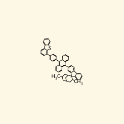 CC1CC2CC(C)C3(c4ccccc4-c4ccc(-c5c6ccccc6c(-c6ccc(-c7cccc8c7sc7ccccc78)cc6)c6ccccc56)cc43)C(C1)C2